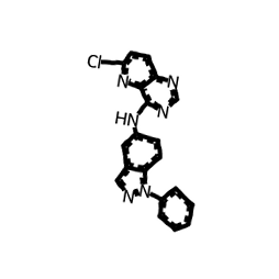 Clc1ccc2ncnc(Nc3ccc4c(cnn4-c4ccccc4)c3)c2n1